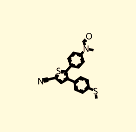 CSc1ccc(-c2cc(C#N)sc2-c2ccc(N(C)C=O)cc2)cc1